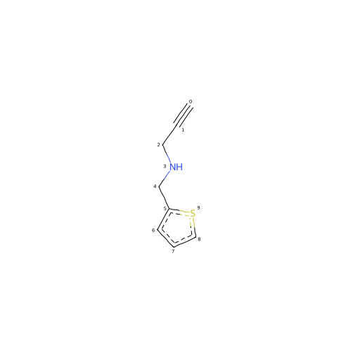 C#CCNCc1cccs1